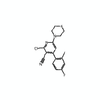 Cc1cc(F)ccc1-c1cc(N2CCSCC2)nc(Cl)c1C#N